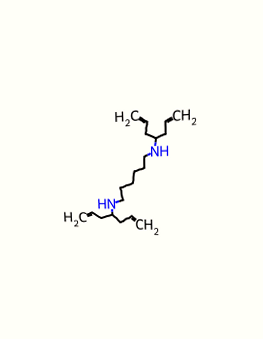 C=CCC(CC=C)NCCCCCCNC(CC=C)CC=C